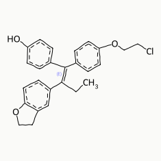 CC/C(=C(/c1ccc(O)cc1)c1ccc(OCCCl)cc1)c1ccc2c(c1)CCO2